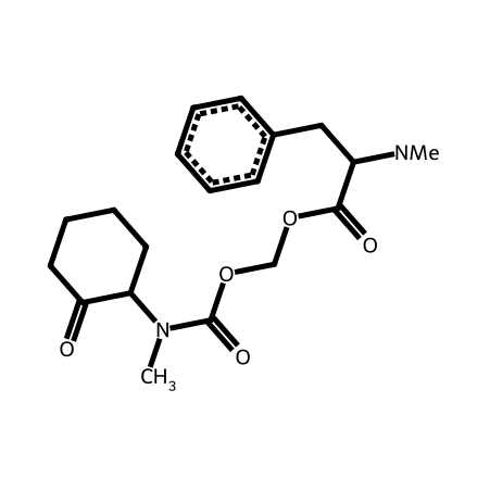 CNC(Cc1ccccc1)C(=O)OCOC(=O)N(C)C1CCCCC1=O